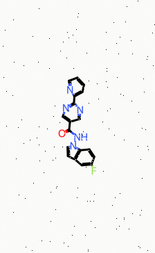 O=C(Nn1ccc2cc(F)ccc21)c1cnc(-c2ccccn2)nc1